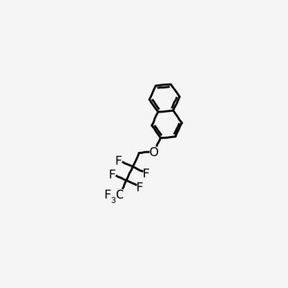 FC(F)(F)C(F)(F)C(F)(F)COc1ccc2ccccc2c1